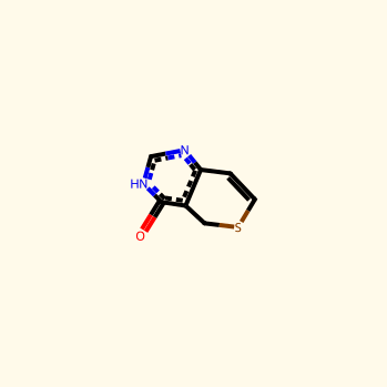 O=c1[nH]cnc2c1CSC=C2